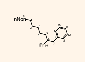 CCCCCCCCCCCCCCC(Cc1ccccc1)[C](C)C